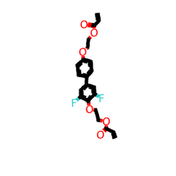 C=CC(=O)OCCOc1ccc(-c2cc(F)c(OCCOC(=O)C=C)c(F)c2)cc1